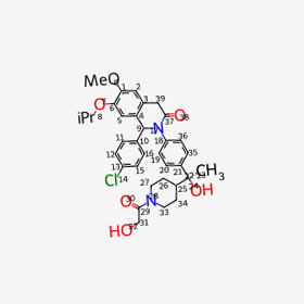 COc1cc2c(cc1OC(C)C)C(c1ccc(Cl)cc1)N(c1ccc([C@@](C)(O)C3CCN(C(=O)CO)CC3)cc1)C(=O)C2